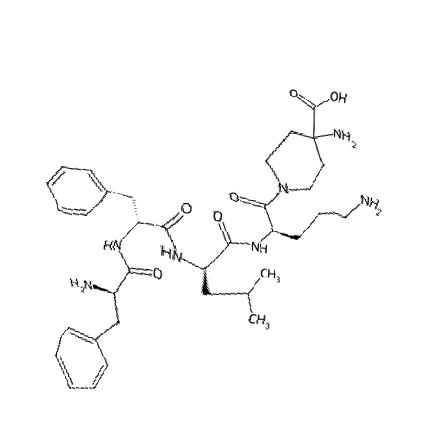 CC(C)C[C@@H](NC(=O)[C@@H](Cc1ccccc1)NC(=O)[C@H](N)Cc1ccccc1)C(=O)N[C@H](CCCN)C(=O)N1CCC(N)(C(=O)O)CC1